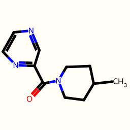 CC1CCN(C(=O)c2cnccn2)CC1